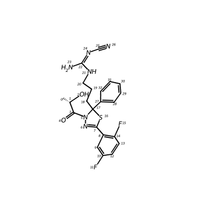 C[C@H](O)C(=O)N1N=C(c2cc(F)ccc2F)SC1(CCCN/C(N)=N\C#N)c1ccccc1